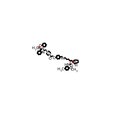 CCOc1ccccc1-n1c(CN2CCN(C(=O)COc3ccc(CNCCCCCCN4C5CC[C@H]4CC(OC(=O)Nc4cc(C)ccc4OC)C5)cc3)CC2)nc2ccccc2c1=O